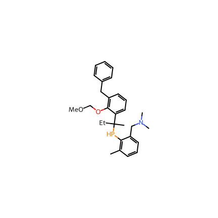 CCC(C)(Pc1c(C)cccc1CN(C)C)c1cccc(Cc2ccccc2)c1OCOC